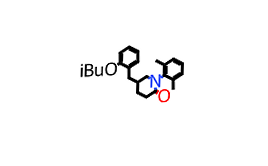 Cc1cccc(C)c1N1CC(Cc2ccccc2OCC(C)C)CCC1=O